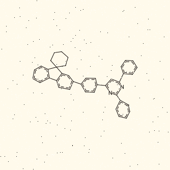 c1ccc(-c2cc(-c3ccc(-c4ccc5c(c4)C4(CCCCC4)c4ccccc4-5)cc3)nc(-c3ccccc3)n2)cc1